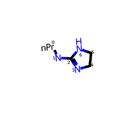 CCC[N]C1=NCCN1